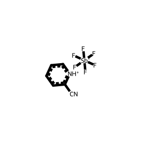 N#Cc1cccc[nH+]1.[F][Sb-]([F])([F])([F])([F])[F]